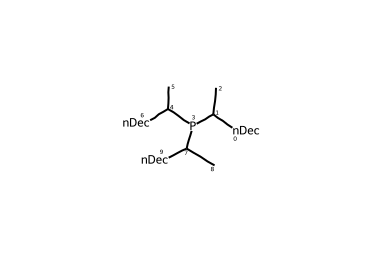 CCCCCCCCCCC(C)P(C(C)CCCCCCCCCC)C(C)CCCCCCCCCC